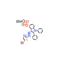 COS(=O)(=O)[O-].C[n+]1cc(Br)sc1N=Nc1c(-c2ccccc2)n(-c2ccccc2)c2ccccc12